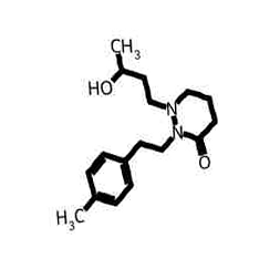 Cc1ccc(CCN2C(=O)CCCN2CCC(C)O)cc1